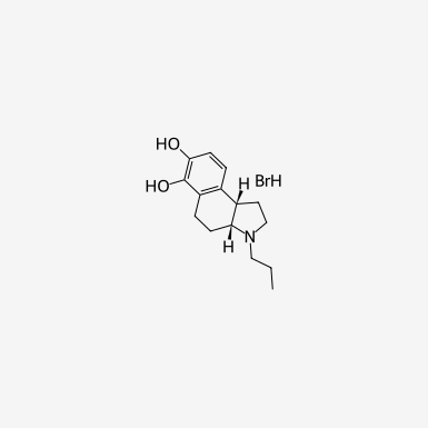 Br.CCCN1CC[C@H]2c3ccc(O)c(O)c3CC[C@H]21